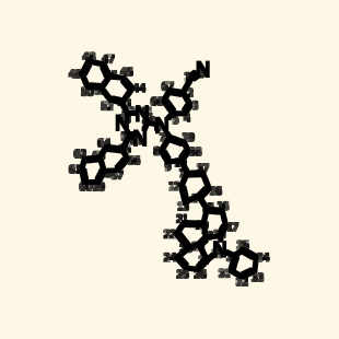 N#Cc1ccc(N(c2ccc(-c3ccc(-c4ccc5c6c4ccc4cccc(c46)n5-c4ccccc4)cc3)cc2)c2nc(-c3ccc4ccccc4c3)nc(-c3ccc4ccccc4c3)n2)cc1